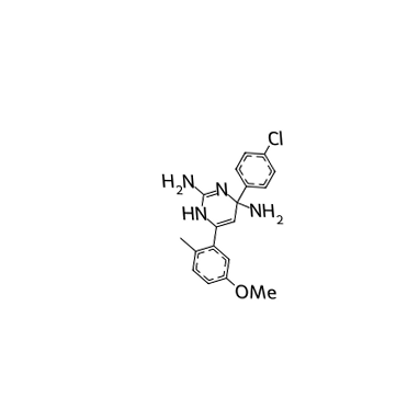 COc1ccc(C)c(C2=CC(N)(c3ccc(Cl)cc3)N=C(N)N2)c1